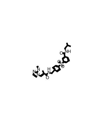 C=Nc1nccn1/C=C(\C)C(=O)NCc1ccc(S(=O)(=O)c2cccc(C(=O)NCC(C)C)c2)cc1